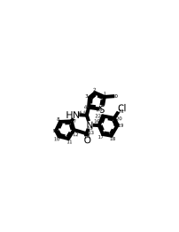 Cc1ccc(C2Nc3ccccc3C(=O)N2c2cccc(Cl)c2)s1